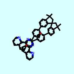 CC1(C)CC2(CC(C)(C)c3ccc(-c4ccc(-c5ccc6ccc7cccnc7c6n5)cc4)cc32)c2cc(-c3ccc(-c4ccc5ccc6cccnc6c5n4)cc3)ccc21